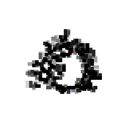 CO.CO[C@H]1/C=C/O[C@@]2(C)Oc3c(C)c(O)c4c(O)c(c(/C=N/N5CCN(C)CC5)c(O)c4c3C2=O)NC(=O)/C(C)=C\C=C\[C@H](C)[C@H](O)[C@@H](C)[C@@H](O)[C@@H](C)[C@H](OC(C)=O)[C@@H]1C